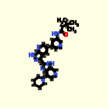 CC(C)(C)CC(=O)Nc1cncc(-c2cnc3[nH]nc(-c4nc5c(N6CCCCC6)cncc5[nH]4)c3c2)c1